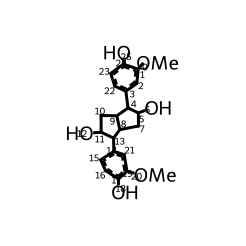 COc1cc(C2C(O)CC3C2CC(O)C3c2ccc(O)c(OC)c2)ccc1O